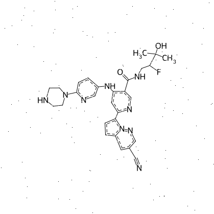 CC(C)(O)C(F)CNC(=O)c1cnc(-c2ccc3cc(C#N)cnn23)cc1Nc1ccc(N2CCNCC2)nc1